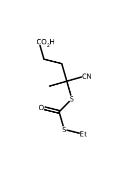 CCSC(=O)SC(C)(C#N)CCC(=O)O